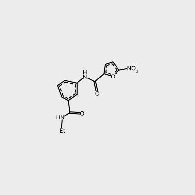 CCNC(=O)c1cccc(NC(=O)c2ccc([N+](=O)[O-])o2)c1